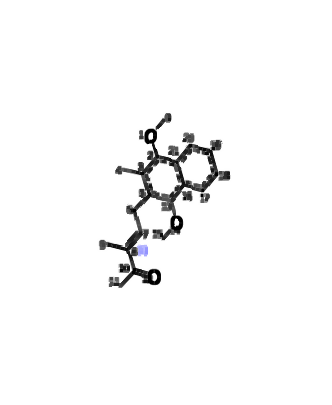 COc1c(C)c(C/C=C(\C)C(C)=O)c(OC)c2ccccc12